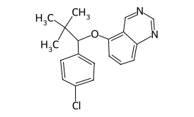 CC(C)(C)C(Oc1cccc2ncncc12)c1ccc(Cl)cc1